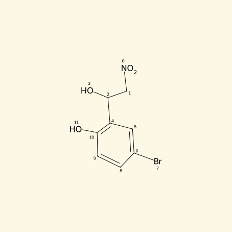 O=[N+]([O-])CC(O)c1cc(Br)ccc1O